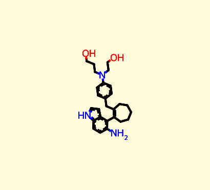 Nc1ccc2[nH]ccc2c1C1=C(Cc2ccc(N(CCO)CCCO)cc2)CCCCC1